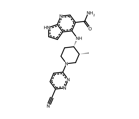 C[C@@H]1CN(c2ccc(C#N)nn2)CC[C@@H]1Nc1c(C(N)=O)cnc2[nH]ccc12